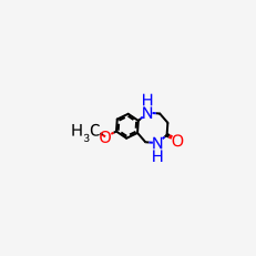 COc1ccc2c(c1)CNC(=O)CCN2